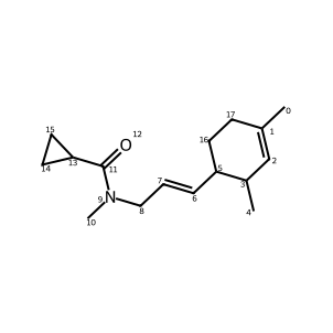 CC1=CC(C)C(/C=C/CN(C)C(=O)C2CC2)CC1